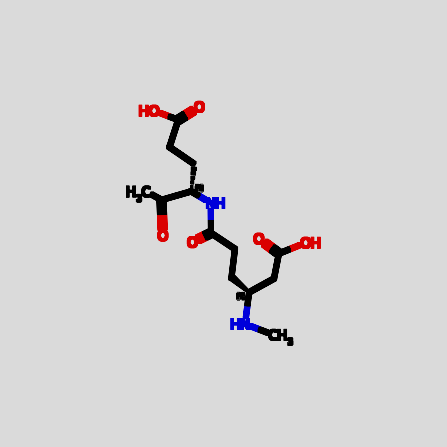 CN[C@@H](CCC(=O)N[C@@H](CCC(=O)O)C(C)=O)CC(=O)O